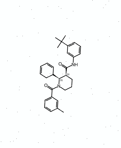 Cc1cccc(C(=O)N2CCC[C@H](C(=O)Nc3cccc(C(C)(C)C)c3)[C@@H]2C2C=CC=CC2)c1